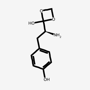 N[C@@H](Cc1ccc(O)cc1)C1(O)OCO1